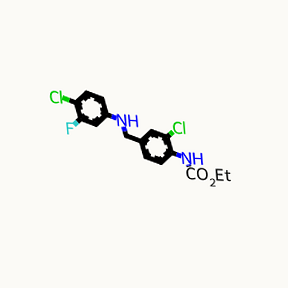 CCOC(=O)Nc1ccc(CNc2ccc(Cl)c(F)c2)cc1Cl